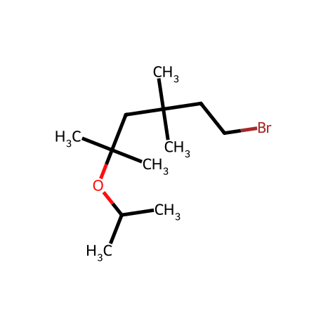 CC(C)OC(C)(C)CC(C)(C)CCBr